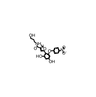 O=C(NCCCO)c1cc(-c2c(O)cc(O)cc2Oc2ccc([N+](=O)[O-])cc2)on1